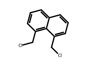 ClCc1cccc2cccc(CCl)c12